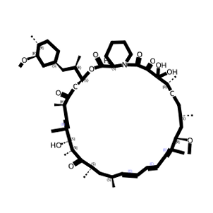 CO[C@@H]1C[C@@H](C)CC[C@@H](C)C(O)(O)C(=O)C(=O)N2CCCC[C@H]2C(=O)O[C@H]([C@H](C)C[C@@H]2CC[C@@H](C)[C@H](OC)C2)CC(=O)[C@H](C)/C=C(\C)[C@@H](O)[C@@H](C)C(=O)[C@@H](C)C[C@H](C)/C=C/C=C/C=C/1C